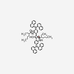 CCCCC(CC)C(=O)NC1=CC(=[N+](c2cccc3ccccc23)c2cccc3ccccc23)C=C/C1=C1\C(=O)C(c2ccc(N(c3cccc4ccccc34)c3cccc4ccccc34)cc2NC(=O)C(CC)CCCC)=C1O